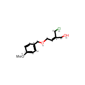 COc1ccc(COC/C=C(/CO)CCl)cc1